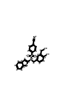 N#Cc1ccc(S(=O)(=O)N(Cc2ccc(F)c(CF)c2)c2cc3ccccc3s2)cc1